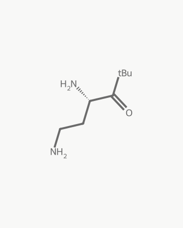 CC(C)(C)C(=O)[C@@H](N)CCN